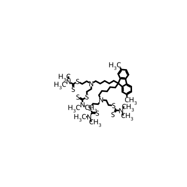 Cc1ccc2c(c1)C(CCCCCN(CCSC(=S)N(C)C)CCSC(=S)N(C)C)(CCCCCN(CCSC(=S)N(C)C)CCSC(=S)N(C)C)c1cc(C)ccc1-2